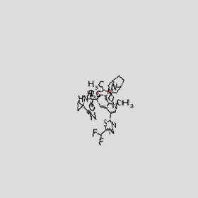 CC(C)C(=O)N1C2CCC1CN(c1cc(S(=O)(=O)NC3(C#N)CC3)cc3c(-c4nnc(C(F)F)s4)cn(C)c13)C2